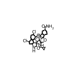 NC(=O)c1ccc2c3n(nc2c1)[C@@H]1[C@H](CO3)N(CC2CC2)[C@@]2(C(=O)Nc3cc(Cl)ccc32)[C@H]1c1cccc(Cl)c1F